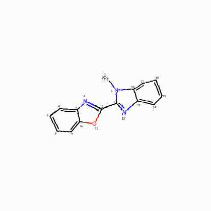 CC(C)n1c(-c2nc3ccccc3o2)nc2ccccc21